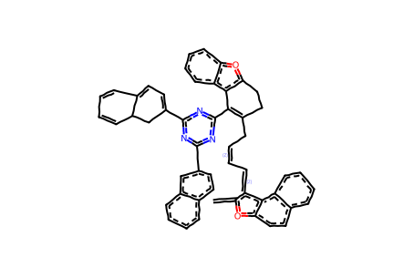 C=c1oc2ccc3ccccc3c2/c1=C/C=C\CC1=C(c2nc(C3=CC=C4C=CC=CC4C3)nc(-c3ccc4ccccc4c3)n2)c2c(oc3ccccc23)CC1